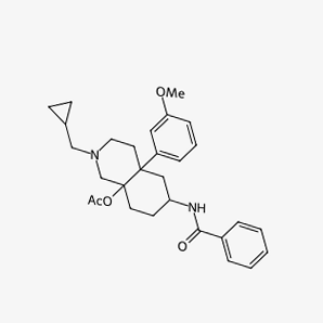 COc1cccc(C23CCN(CC4CC4)CC2(OC(C)=O)CCC(NC(=O)c2ccccc2)C3)c1